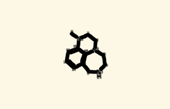 CN1CCN2CCNCc3cccc1c32